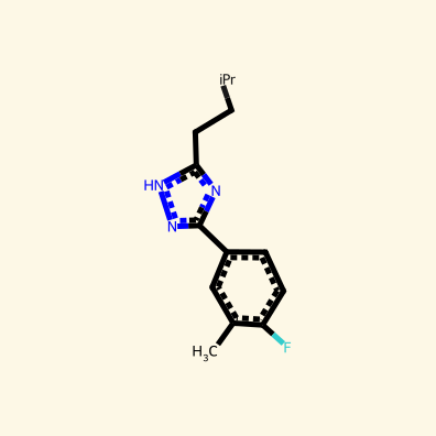 Cc1cc(-c2n[nH]c(CCC(C)C)n2)ccc1F